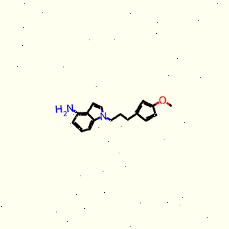 COc1ccc(CCCn2ccc3c(N)cccc32)cc1